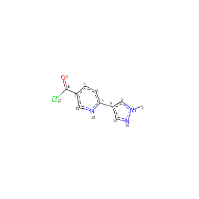 Cn1cc(-c2ccc(C(=O)Cl)cn2)cn1